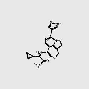 NC(=O)C(NC1=COCC2=C3C1=CN=C(c1cn[nH]c1)N3CC2)C1CC1